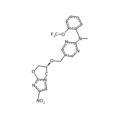 CN(c1ncc(CO[C@@H]2COc3nc([N+](=O)[O-])cn3C2)cn1)c1ccccc1OC(F)(F)F